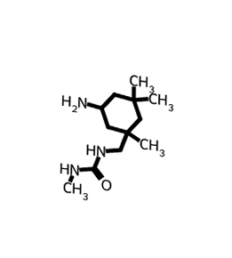 CNC(=O)NCC1(C)CC(N)CC(C)(C)C1